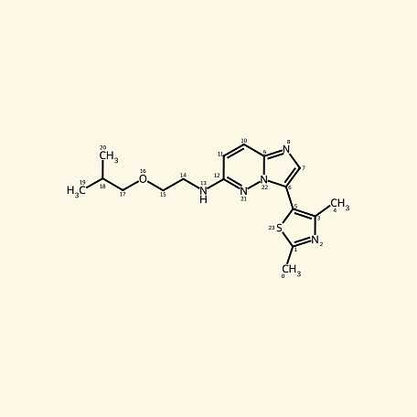 Cc1nc(C)c(-c2cnc3ccc(NCCOCC(C)C)nn23)s1